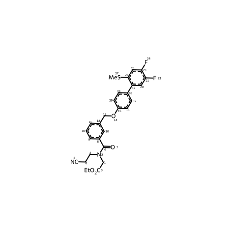 CCOC(=O)CN(CCC#N)C(=O)c1cccc(COc2ccc(-c3cc(F)c(F)cc3SC)cc2)c1